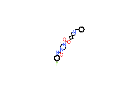 C[C@@H]1CN(c2nc3ccc(F)cc3o2)C[C@H](C)N1C(=O)OC1CC2(C1)CN(Cc1ccccc1)C2